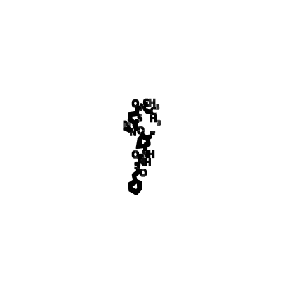 CCN(C)C(=O)c1cc2ncnc(Oc3ccc(NC(=O)NSC(=O)Cc4ccccc4)cc3F)c2s1